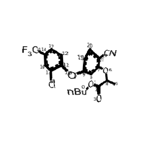 CCCCOC(=O)C(C)Oc1cc(Oc2ccc(C(F)(F)F)cc2Cl)ccc1C#N